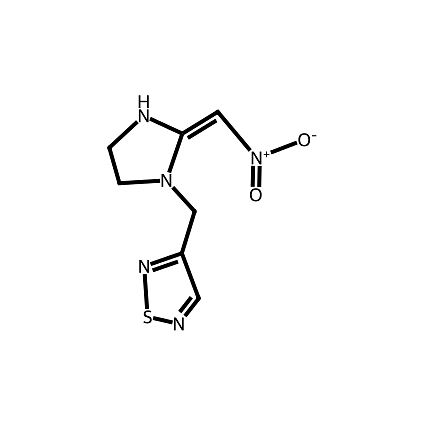 O=[N+]([O-])C=C1NCCN1Cc1cnsn1